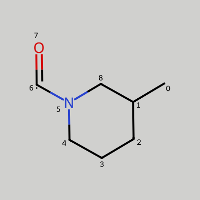 CC1CCCN([C]=O)C1